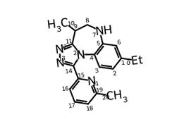 CCc1ccc2c(c1)NCC(C)c1nnc(-c3cccc(C)n3)n1-2